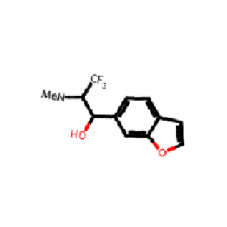 CNC(C(O)c1ccc2ccoc2c1)C(F)(F)F